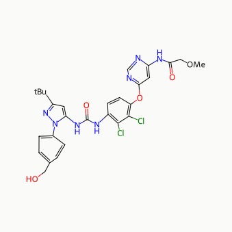 COCC(=O)Nc1cc(Oc2ccc(NC(=O)Nc3cc(C(C)(C)C)nn3-c3ccc(CO)cc3)c(Cl)c2Cl)ncn1